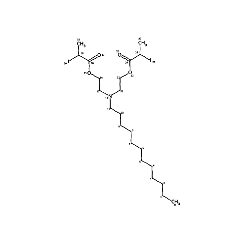 CCCCCCCCCCCCN(CCOC(=O)C(C)I)CCOC(=O)C(C)I